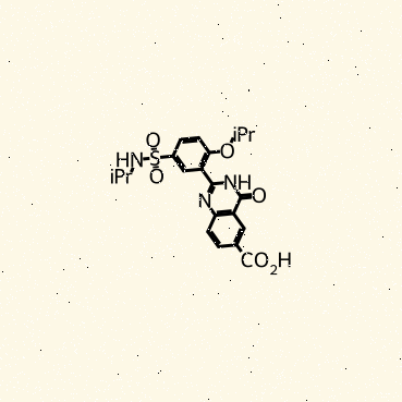 CC(C)NS(=O)(=O)c1ccc(OC(C)C)c(-c2nc3ccc(C(=O)O)cc3c(=O)[nH]2)c1